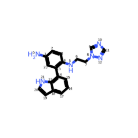 Nc1ccc(NCCn2cncn2)c(-c2cccc3cc[nH]c23)c1